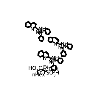 CCCCCCC(C(=O)O)(C(CC)(CC)C(=O)O)S(=O)(=O)O.c1ccc(N2N=C(c3ccc4ccccc4n3)NN2c2ccccc2)cc1.c1ccc(N2N=C(c3ccc4ccccc4n3)NN2c2ccccc2)cc1.c1ccc(N2N=C(c3ccc4ccccc4n3)NN2c2ccccc2)cc1